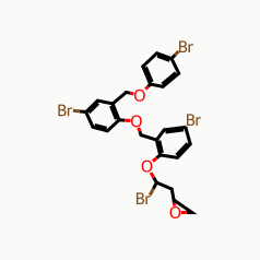 Brc1ccc(OCc2cc(Br)ccc2OCc2cc(Br)ccc2OC(Br)CC2CO2)cc1